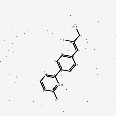 Cc1ccnc(-c2ccc(/C=C(\F)CO)cc2)n1